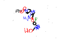 CC(C)OC(=O)N1CCC(n2ncc(COc3ccc(-c4nnnn4CCO)cc3F)c2N)CC1